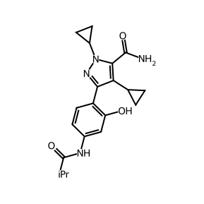 CC(C)C(=O)Nc1ccc(-c2nn(C3CC3)c(C(N)=O)c2C2CC2)c(O)c1